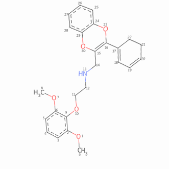 COc1cccc(OC)c1OCCNCC1=C(C2=CC=CCC2)Oc2ccccc2O1